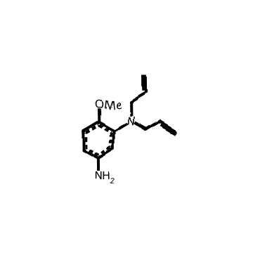 C=CCN(CC=C)c1cc(N)ccc1OC